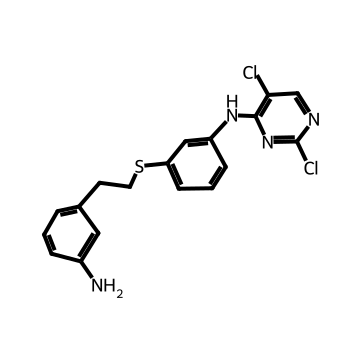 Nc1cccc(CCSc2cccc(Nc3nc(Cl)ncc3Cl)c2)c1